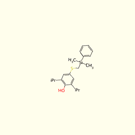 CC(C)c1cc(SC[Si](C)(C)c2ccccc2)cc(C(C)C)c1O